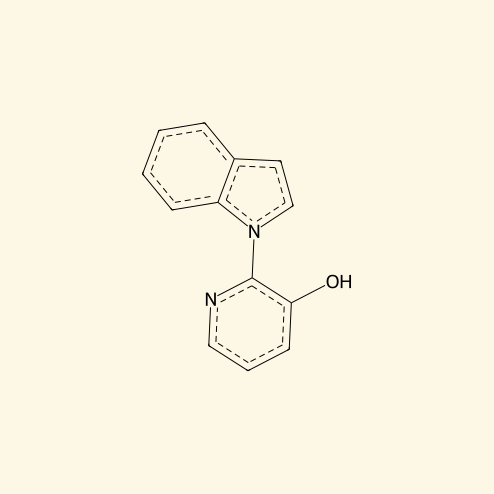 Oc1cccnc1-n1ccc2ccccc21